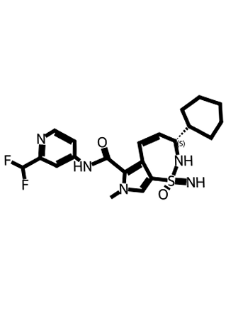 Cn1cc2c(c1C(=O)Nc1ccnc(C(F)F)c1)C=C[C@H](C1CCCCC1)NS2(=N)=O